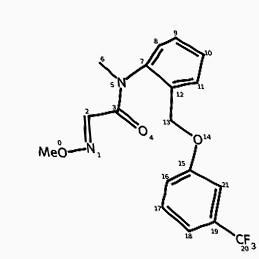 CON=CC(=O)N(C)c1ccccc1COc1cccc(C(F)(F)F)c1